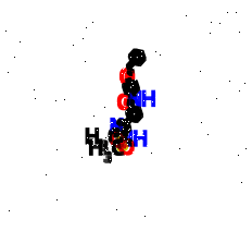 Cc1ncc(-c2cccc(C(=O)Nc3ccc(OCCc4ccccc4)cc3)c2)cc1NS(C)(=O)=O